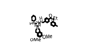 CCN(C(=O)c1ccc(CNc2nc(NC3CCCCC3)nc(N3CCc4cc(OC)c(OC)cc4C3)n2)cc1)c1cccc(C)c1